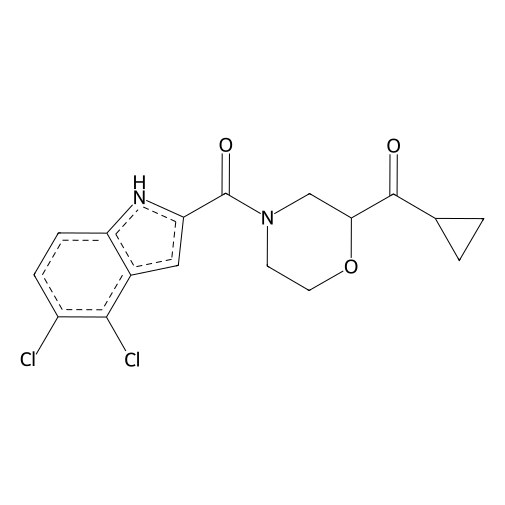 O=C(C1CC1)C1CN(C(=O)c2cc3c(Cl)c(Cl)ccc3[nH]2)CCO1